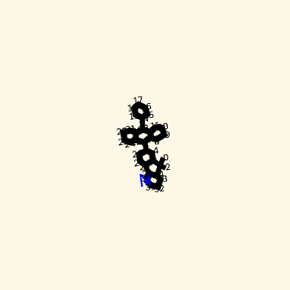 CC1(C)c2cc(-c3c4ccccc4c(-c4ccccc4)c4ccccc34)ccc2-c2ncccc21